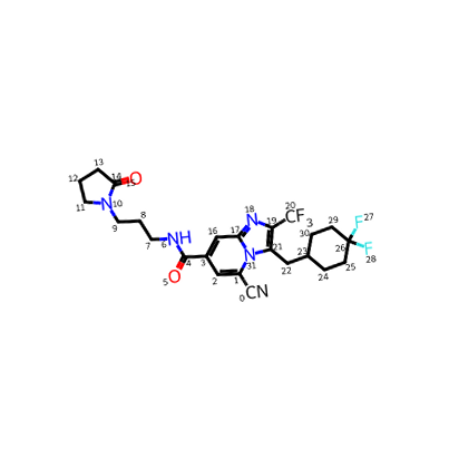 N#Cc1cc(C(=O)NCCCN2CCCC2=O)cc2nc(C(F)(F)F)c(CC3CCC(F)(F)CC3)n12